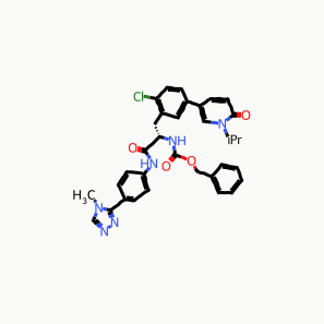 CC(C)n1cc(-c2ccc(Cl)c(C[C@H](NC(=O)OCc3ccccc3)C(=O)Nc3ccc(-c4nncn4C)cc3)c2)ccc1=O